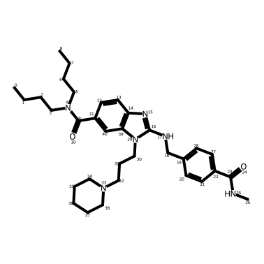 CCCCN(CCCC)C(=O)c1ccc2nc(NCc3ccc(C(=O)NC)cc3)n(CCCN3CCCCC3)c2c1